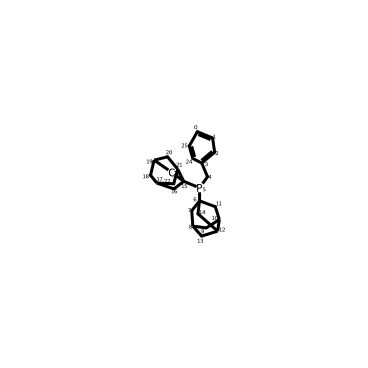 c1ccc(CP(C23CC4CC(C2)C(C4)C3)C23CC4CC(CC2C4)C3)cc1